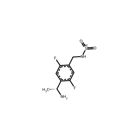 C[C@@H](N)c1cc(F)c(CN[SH](=O)=O)cc1F